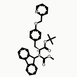 COC(=O)N(C1c2ccccc2-c2ccccc21)[C@@H](Cc1ccc(OCc2ccccn2)cc1)C(=O)OC(C)(C)C